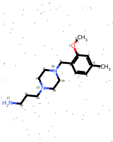 COc1cc(C)ccc1CN1CCN(CCCN)CC1